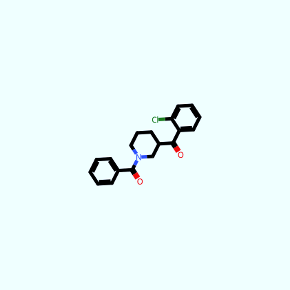 O=C(c1ccccc1Cl)C1CCCN(C(=O)c2ccccc2)C1